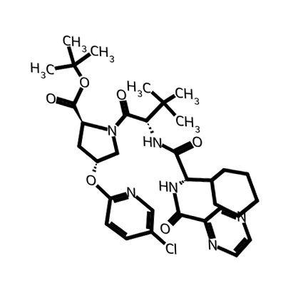 CC(C)(C)OC(=O)[C@@H]1C[C@@H](Oc2ccc(Cl)cn2)CN1C(=O)[C@@H](NC(=O)[C@@H](NC(=O)c1cnccn1)C1CCCCC1)C(C)(C)C